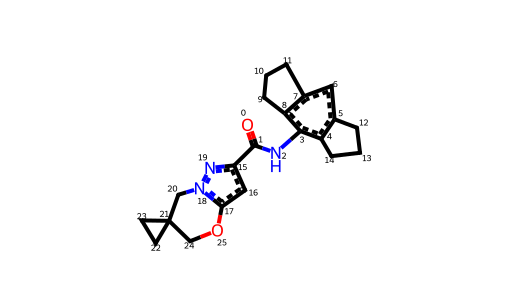 O=C(Nc1c2c(cc3c1CCC3)CCC2)c1cc2n(n1)CC1(CC1)CO2